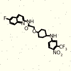 O=C(COC1CCC(Nc2ccc([N+](=O)[O-])c(C(F)(F)F)c2)CC1)Nc1ccc2cc(F)ccc2n1